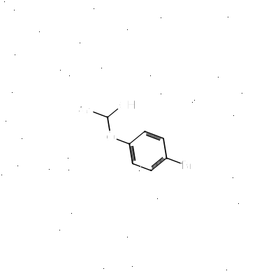 CC(=O)C(C)Oc1ccc(Br)cc1